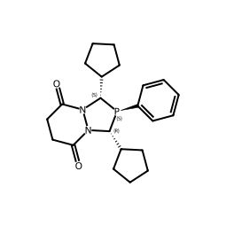 O=C1CCC(=O)N2[C@H](C3CCCC3)[P@@](c3ccccc3)[C@H](C3CCCC3)N12